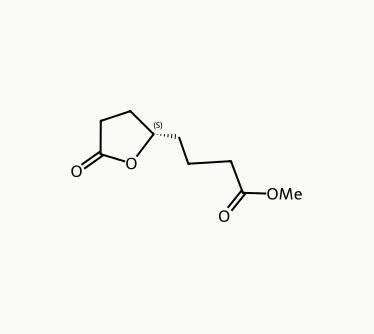 COC(=O)CCC[C@H]1CCC(=O)O1